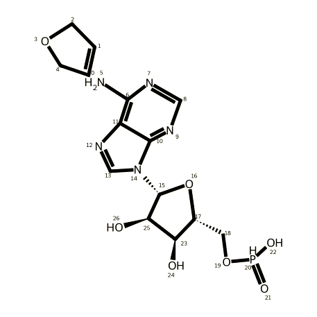 C1=CCOC1.Nc1ncnc2c1ncn2[C@@H]1O[C@H](CO[PH](=O)O)[C@@H](O)[C@H]1O